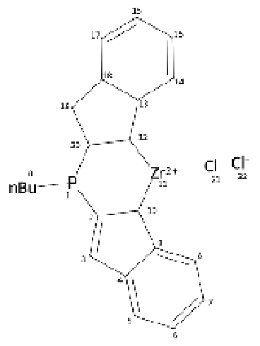 CCCCP1C2=Cc3ccccc3[CH]2[Zr+2][CH]2C3C=CC=CC3CC21.[Cl-].[Cl-]